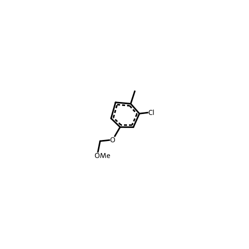 COCOc1ccc(C)c(Cl)c1